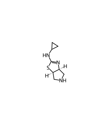 C1CC1NC1=N[C@H]2CNC[C@H]2S1